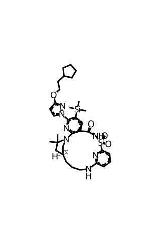 CC1(C)C[C@@H]2CCCNc3cccc(n3)S(=O)(=O)NC(=O)c3cc([Si](C)(C)C)c(-n4ccc(OCCC5CCCC5)n4)nc3N1C2